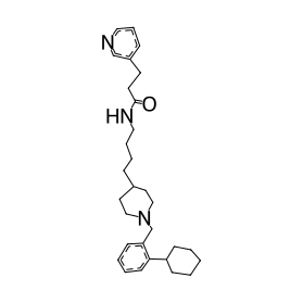 O=C(CCc1cccnc1)NCCCCC1CCN(Cc2ccccc2C2CCCCC2)CC1